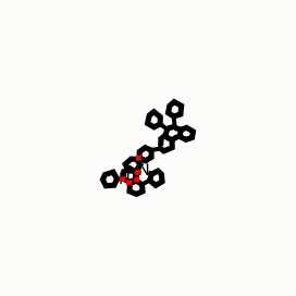 c1ccc(-c2c(-c3ccccc3)c3cc(-c4cccc(N(c5ccccc5)c5ccccc5-c5cccc6c5c5ccccc5n6-c5ccccc5)c4)ccc3c3ccccc23)cc1